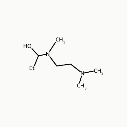 CCC(O)N(C)CCN(C)C